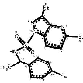 CCc1ccc2c(n1)c(CC)nn2S(=O)(=O)NC(c1ccc(F)cc1)C(F)(F)F